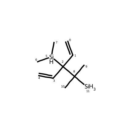 C=CC(C=C)([SiH](C)C)C(C)(C)[SiH3]